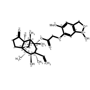 C=C[C@]1(C)C[C@@H](OC(=O)COc2cc3c(cc2OC)COB3O)[C@]2(C)[C@H](C)CC[C@]3(CCC(=O)[C@H]32)[C@@H](C)[C@@H]1O